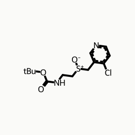 CC(C)(C)OC(=O)NCC[S+]([O-])Cc1cnccc1Cl